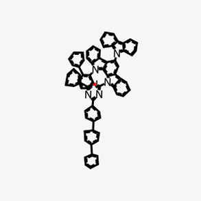 c1ccc(-c2ccc(-c3ccc(-c4nc(-c5ccccc5)nc(-n5c6ccccc6c6cc(-n7c8ccccc8c8ccccc87)c7c8ccccc8n(-c8ccccc8-c8ccccc8)c7c65)n4)cc3)cc2)cc1